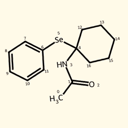 CC(=O)NC1([Se]c2ccccc2)CCCCC1